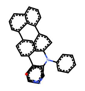 c1ccc(N(c2ccccc2)c2ccc(-c3cccc4cccc(-c5ccc(-c6ccncc6)cc5)c34)cc2)cc1